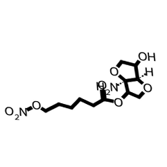 N[C@]12OCC(O)[C@H]1OCC2OC(=O)CCCCCO[N+](=O)[O-]